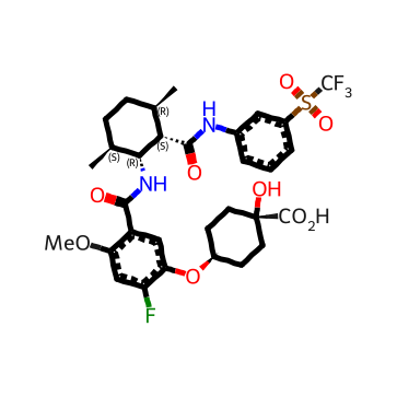 COc1cc(F)c(O[C@H]2CC[C@@](O)(C(=O)O)CC2)cc1C(=O)N[C@H]1[C@@H](C(=O)Nc2cccc(S(=O)(=O)C(F)(F)F)c2)[C@H](C)CC[C@@H]1C